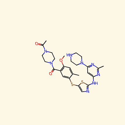 COc1cc(C)c(Sc2cnc(Nc3cc(N4CCNCC4)nc(C)n3)s2)cc1C(=O)N1CCN(C(C)=O)CC1